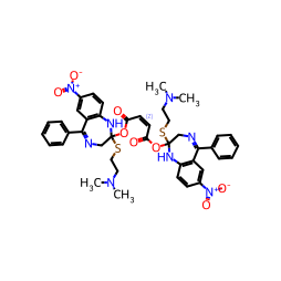 CN(C)CCSC1(OC(=O)/C=C\C(=O)OC2(SCCN(C)C)CN=C(c3ccccc3)c3cc([N+](=O)[O-])ccc3N2)CN=C(c2ccccc2)c2cc([N+](=O)[O-])ccc2N1